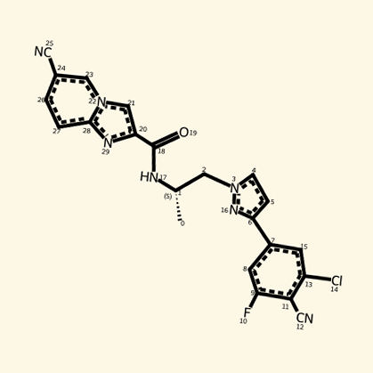 C[C@@H](Cn1ccc(-c2cc(F)c(C#N)c(Cl)c2)n1)NC(=O)c1cn2cc(C#N)ccc2n1